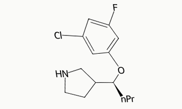 CCC[C@H](Oc1cc(F)cc(Cl)c1)C1CCNC1